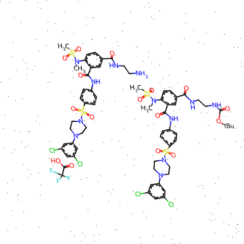 CN(c1ccc(C(=O)NCCN)cc1C(=O)Nc1ccc(S(=O)(=O)N2CCN(c3cc(Cl)cc(Cl)c3)CC2)cc1)S(C)(=O)=O.CN(c1ccc(C(=O)NCCNC(=O)OC(C)(C)C)cc1C(=O)Nc1ccc(S(=O)(=O)N2CCN(c3cc(Cl)cc(Cl)c3)CC2)cc1)S(C)(=O)=O.O=C(O)C(F)(F)F